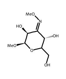 CO/N=C1/[C@H](O)C(CO)O[C@@H](OC)[C@H]1O